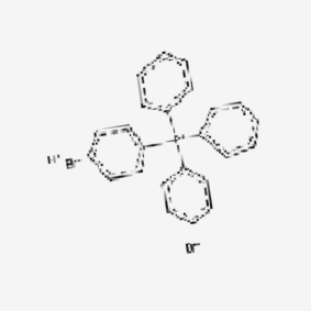 [Br-].[Br-].[H+].c1ccc([P+](c2ccccc2)(c2ccccc2)c2ccccc2)cc1